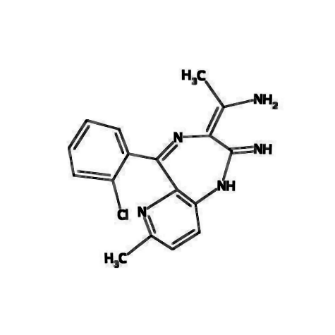 C/C(N)=C1\N=C(c2ccccc2Cl)c2nc(C)ccc2NC1=N